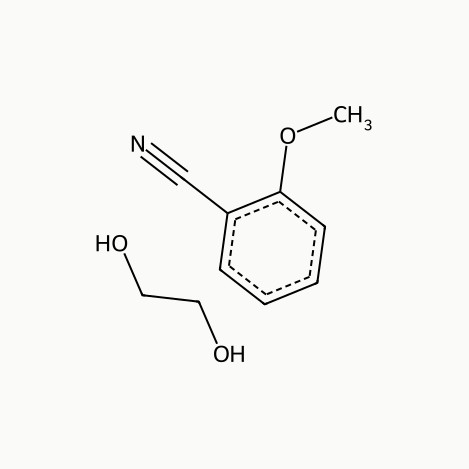 COc1ccccc1C#N.OCCO